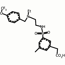 CCN(CCNS(=O)(=O)c1cc(C)cc(CC(=O)O)c1)Cc1ccc(OC(F)(F)F)cc1